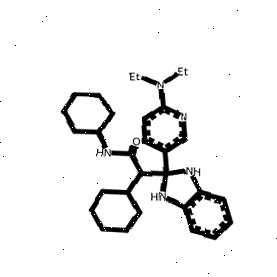 CCN(CC)c1ccc(C2(C(C(=O)NC3CCCCC3)C3CCCCC3)Nc3ccccc3N2)cn1